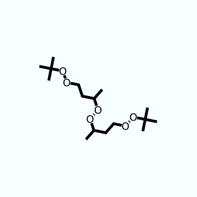 CC(CCOOC(C)(C)C)OOC(C)CCOOC(C)(C)C